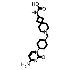 Nc1ccn([C@H]2CC[C@H](CN3CCC4(CC3)CC(NC(=O)O)C4)CC2)c(=O)n1